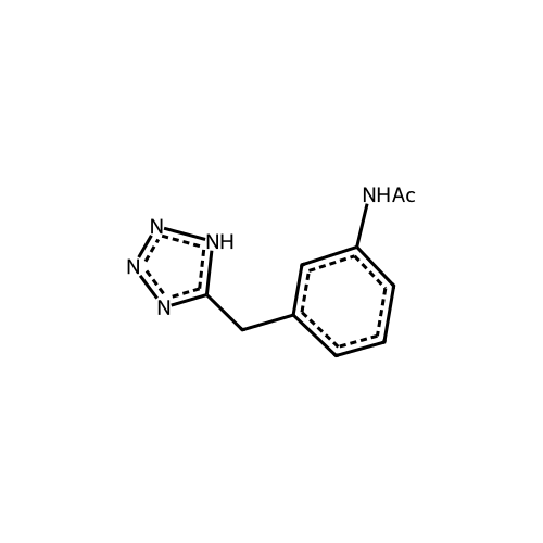 CC(=O)Nc1cccc(Cc2nnn[nH]2)c1